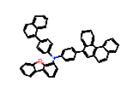 c1ccc2c(-c3ccc(N(c4ccc(-c5cc6ccc7ccccc7c6c6ccccc56)cc4)c4cccc5c4oc4ccccc45)cc3)cccc2c1